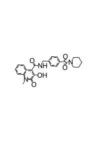 Cn1c(=O)c(O)c(C(=O)NCc2ccc(S(=O)(=O)N3CCCCC3)cc2)c2ccccc21